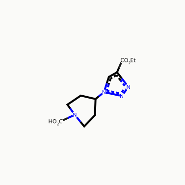 CCOC(=O)c1cn(C2CCN(C(=O)O)CC2)nn1